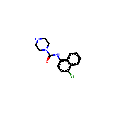 O=C(Nc1ccc(Cl)c2ccccc12)N1CCNCC1